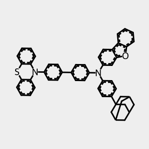 c1ccc2c(c1)Sc1ccccc1N2c1ccc(-c2ccc(N(c3ccc(C45CC6CC(CC(C6)C4)C5)cc3)c3ccc4c(c3)oc3ccccc34)cc2)cc1